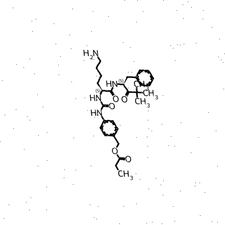 CCC(=O)OCc1ccc(NC(=O)N[C@@H](CCCCN)C(=O)N[C@@H](Cc2ccccc2)C(=O)C(C)(C)C)cc1